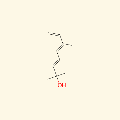 [CH]=CC(C)=CC=CC(C)(C)O